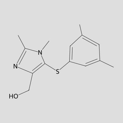 Cc1cc(C)cc(Sc2c(CO)nc(C)n2C)c1